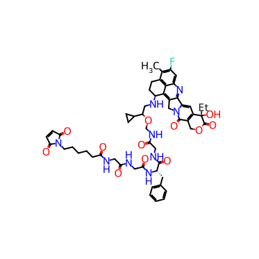 CC[C@@]1(O)C(=O)OCc2c1cc1n(c2=O)Cc2c-1nc1cc(F)c(C)c3c1c2[C@@H](NCC(OCNC(=O)CNC(=O)[C@H](Cc1ccccc1)NC(=O)CNC(=O)CNC(=O)CCCCCN1C(=O)C=CC1=O)C1CC1)CC3